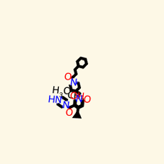 CC1(C)CN(C(=O)CCC2CCCCC2)CC[C@@]1(O)Cn1cc(C(=O)N2CCNCC2)c(C2CC2)cc1=O